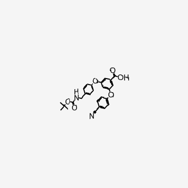 CC(C)(C)OC(=O)NCc1ccc(Oc2cc(Oc3ccc(C#N)cc3)cc(C(=O)O)c2)cc1